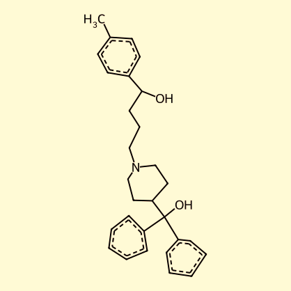 Cc1ccc(C(O)CCCN2CCC(C(O)(c3ccccc3)c3ccccc3)CC2)cc1